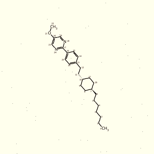 CCCCCCC[C@H]1CC[C@H](CCc2ccc(-c3ncc(OC)cn3)cc2)CC1